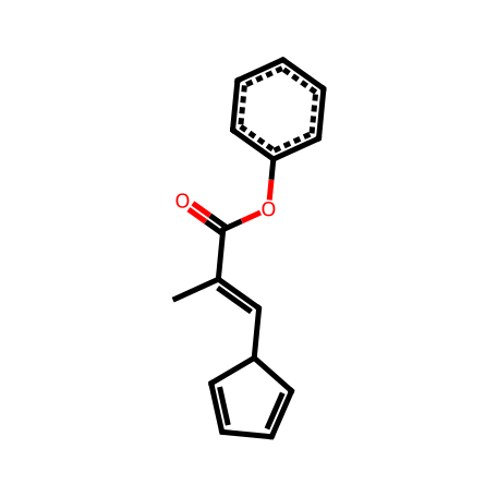 CC(=CC1C=CC=C1)C(=O)Oc1ccccc1